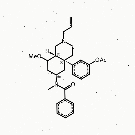 C=CCN1CC[C@@]2(c3cccc(OC(C)=O)c3)C[C@@H](N(C)C(=O)c3ccccc3)CC(OC)[C@@H]2C1